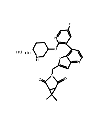 CC1(C)C2C(=O)N(Cc3cc4nccc(-c5cc(F)cnc5OC5CCCNC5)c4s3)C(=O)C21.Cl.Cl